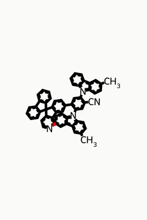 Cc1ccc2c(c1)c1ccccc1n2-c1cc(-c2ccc3c(c2)-c2cnccc2C32c3ccccc3-c3ccccc32)c(-n2c3ccccc3c3cc(C)ccc32)cc1C#N